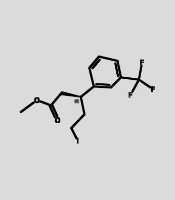 COC(=O)C[C@H](CCI)c1cccc(C(F)(F)F)c1